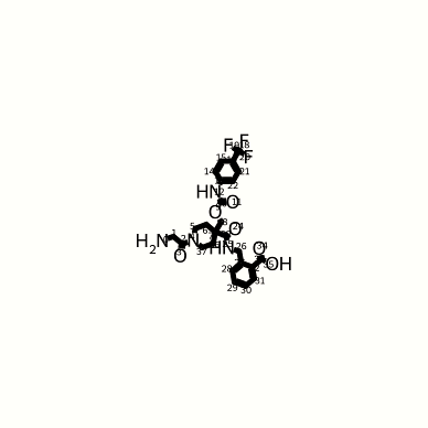 NCC(=O)N1CCC(COC(=O)Nc2ccc(C(F)(F)F)cc2)(C(=O)NCc2ccccc2C(=O)O)CC1